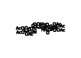 COC(=O)C(CSSCC(NC(=O)OCC1OC(OC(C)=O)C(OC(C)=O)C(OC(C)=O)C1OC(C)=O)C(=O)OC)NC(=O)OCC1OC(OC(C)=O)C(OC(C)=O)C(OC(C)=O)C1OC(C)=O